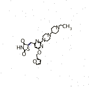 CCN1CCC(N2CCN(c3nc(/C=C4\SC(=O)NC4=O)cc(OCc4ccco4)n3)CC2)CC1